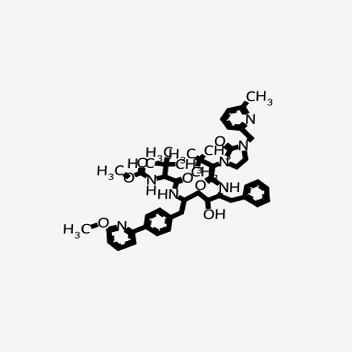 COC(=O)NC(C(=O)NC(Cc1ccc(-c2cccc(OC)n2)cc1)CC(O)C(Cc1ccccc1)NC(=O)C(N1CCN(Cc2cccc(C)n2)C1=O)C(C)(C)C)C(C)(C)C